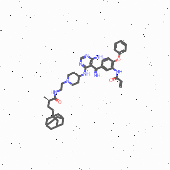 C=CC(=O)Nc1cc(C(=N)c2c(N)ncnc2NC2CCN(CCNC(=O)[C@H](C)CCC34CC5CC(CC(C5)C3)C4)CC2)ccc1Oc1ccccc1